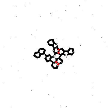 c1ccc(-c2ccc(-c3cccc4ccccc34)cc2N(c2ccc3sc4ccccc4c3c2)c2ccccc2-c2cccc3c2sc2ccccc23)cc1